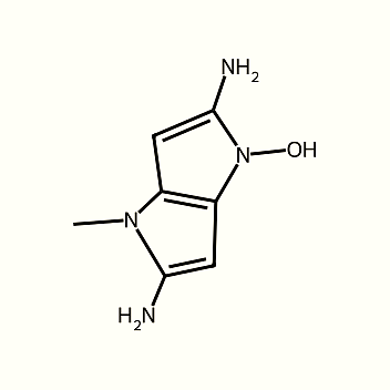 Cn1c(N)cc2c1cc(N)n2O